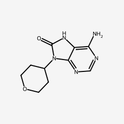 Nc1ncnc2c1[nH]c(=O)n2C1CCOCC1